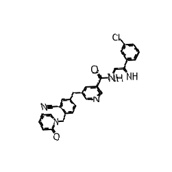 N#Cc1cc(Cc2cncc(C(=O)NCC(=N)c3cccc(Cl)c3)c2)ccc1Cn1ccccc1=O